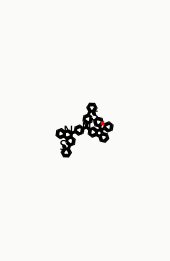 c1ccc(C2(c3ccccc3)c3ccccc3-c3ccc(N(c4ccc(-c5nc6ccccc6c6c5ccc5c7ccccc7sc56)cc4)c4ccc5c(c4)sc4ccccc45)cc32)cc1